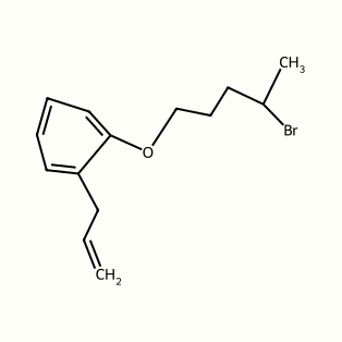 C=CCc1ccccc1OCCCC(C)Br